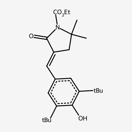 CCOC(=O)N1C(=O)C(=Cc2cc(C(C)(C)C)c(O)c(C(C)(C)C)c2)CC1(C)C